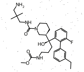 CCc1cccc(-c2c(F)cccc2[C@](O)(CCCNC(=O)OC)[C@@H]2CCCN(C(=O)NCC(C)(C)CN)C2)c1